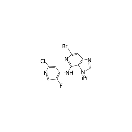 CC(C)n1cnc2cc(Br)nc(Nc3cc(Cl)ncc3F)c21